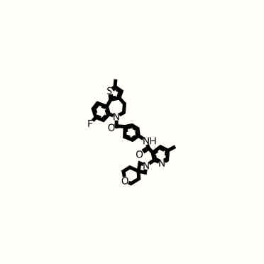 Cc1cnc(N2CC3(CCOCC3)C2)c(C(=O)Nc2ccc(C(=O)N3CCc4cc(C)sc4-c4ccc(F)cc43)cc2)c1